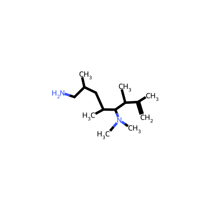 C=C(C)C(C)C(C(C)CC(C)CN)N(C)C